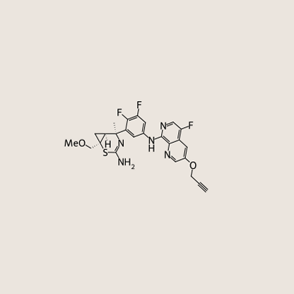 C#CCOc1cnc2c(Nc3cc(F)c(F)c([C@@]4(C)N=C(N)S[C@@]5(COC)C[C@H]54)c3)ncc(F)c2c1